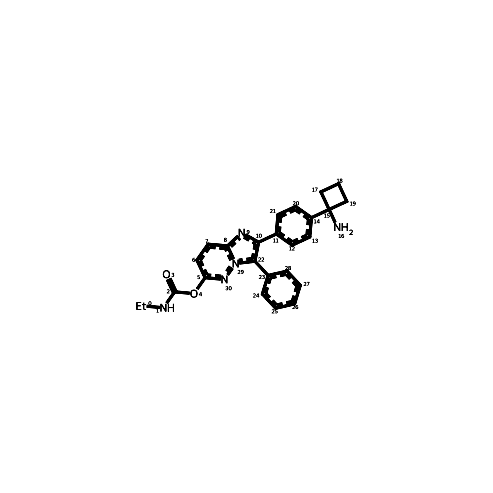 CCNC(=O)Oc1ccc2nc(-c3ccc(C4(N)CCC4)cc3)c(-c3ccccc3)n2n1